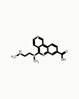 CNCCN(C)c1nc2cc(C(=O)O)ccc2c2cnccc12